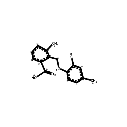 Cc1ccc(OCc2c(C)cccc2C(=O)O)c(Cl)c1